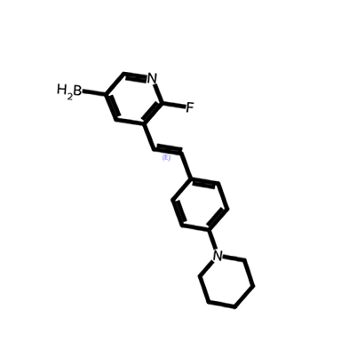 Bc1cnc(F)c(/C=C/c2ccc(N3CCCCC3)cc2)c1